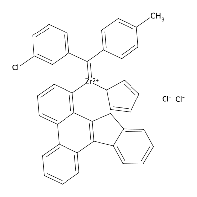 Cc1ccc([C](c2cccc(Cl)c2)=[Zr+2]([c]2cccc3c2c2c(c4ccccc43)-c3ccccc3C2)[CH]2C=CC=C2)cc1.[Cl-].[Cl-]